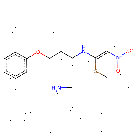 CN.CSC(=C[N+](=O)[O-])NCCCOc1ccccc1